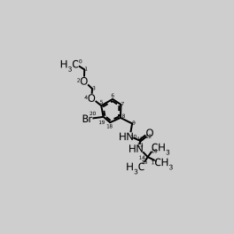 CCOCOc1ccc(CNC(=O)NC(C)(C)C)cc1Br